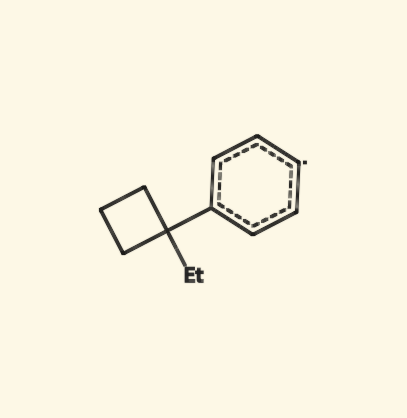 CCC1(c2cc[c]cc2)CCC1